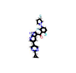 O=C(c1c(F)ccc(N2CC[C@H](F)C2)c1F)c1c[nH]c2ncc(-c3cnc(C4CC4)nc3)cc12